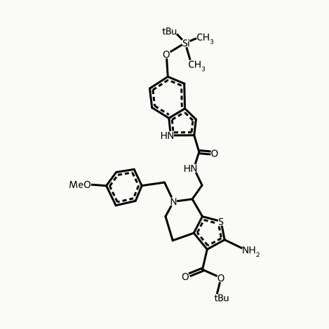 COc1ccc(CN2CCc3c(sc(N)c3C(=O)OC(C)(C)C)C2CNC(=O)c2cc3cc(O[Si](C)(C)C(C)(C)C)ccc3[nH]2)cc1